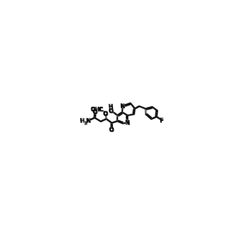 NC(=O)CC(OC=O)C(=O)c1cnc2cc(Cc3ccc(F)cc3)cnc2c1O